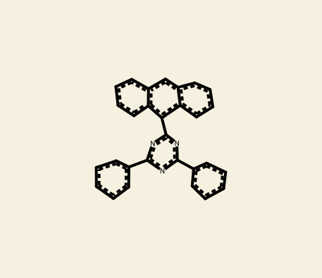 c1ccc(-c2nc(-c3ccccc3)nc(-c3c4ccccc4cc4ccccc34)n2)cc1